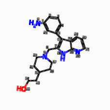 Nc1cccc(-c2c(CN3CCC(CCO)CC3)[nH]c3ncccc23)c1